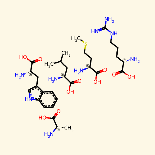 CC(C)C[C@H](N)C(=O)O.CSCC[C@H](N)C(=O)O.C[C@H](N)C(=O)O.N=C(N)NCCC[C@H](N)C(=O)O.N[C@@H](Cc1c[nH]c2ccccc12)C(=O)O